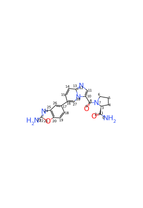 NC(=O)[C@@H]1CCCN1C(=O)c1cnc2ccc(-c3ccc4oc(N)nc4c3)cn12